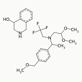 COCc1ccc(C(C)N(CC(OC)OC)CC(F)(F)F)cc1.OC1CNCc2ccccc21